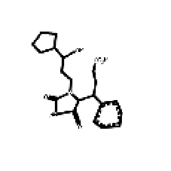 O=C(O)CCC(c1ccccc1)C1C(=O)NC(=O)N1CCC(O)C1CCCC1